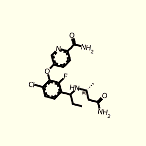 CCC(N[C@H](C)CC(N)=O)c1ccc(Cl)c(Oc2ccc(C(N)=O)nc2)c1F